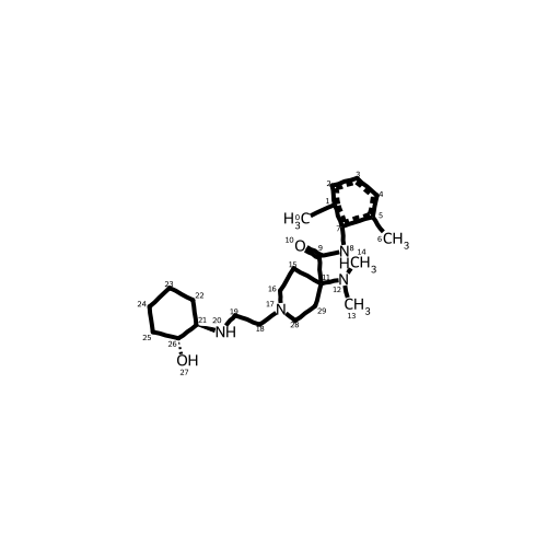 Cc1cccc(C)c1NC(=O)C1(N(C)C)CCN(CCN[C@@H]2CCCC[C@H]2O)CC1